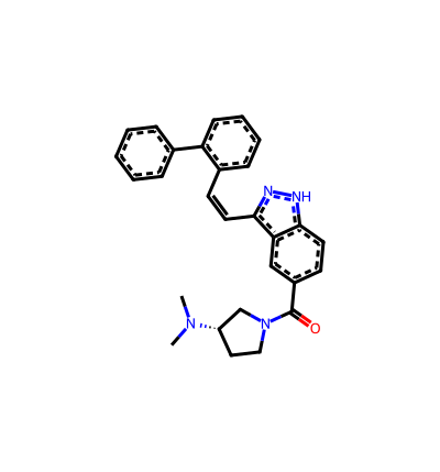 CN(C)[C@H]1CCN(C(=O)c2ccc3[nH]nc(/C=C\c4ccccc4-c4ccccc4)c3c2)C1